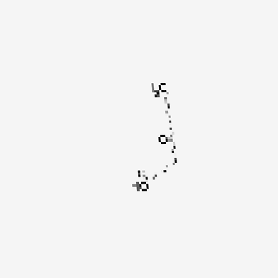 CCCCCCCCC(=O)CC/C=C\CCCCC(=O)O